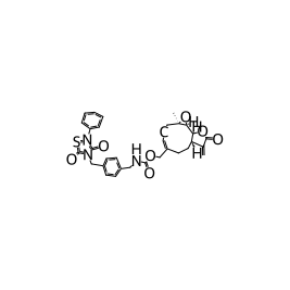 C=C1C(=O)O[C@H]2[C@H]1CC/C(COC(=O)NCc1ccc(Cn3c(=O)sn(-c4ccccc4)c3=O)cc1)=C\CC[C@@]1(C)O[C@@H]21